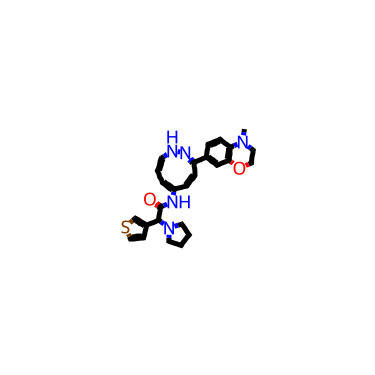 CN1CCOc2cc(-c3ccc(NC(=O)C(c4ccsc4)N4CCCC4)ccc[nH]n3)ccc21